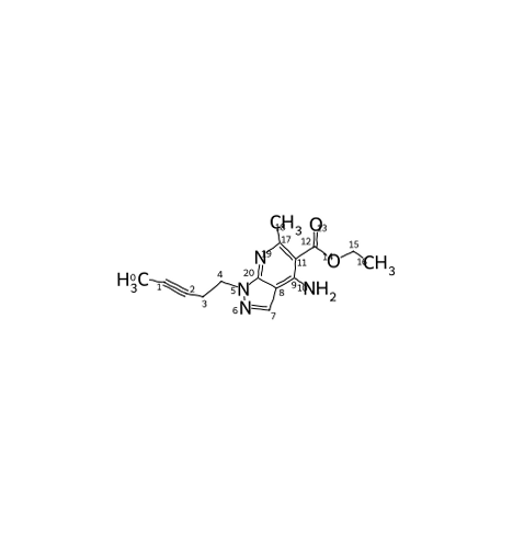 CC#CCCn1ncc2c(N)c(C(=O)OCC)c(C)nc21